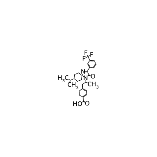 CC(C)C1CCC2(CC1)N=C(c1cccc(C(F)(F)F)c1)C(=O)N2C(C)Cc1ccc(C(=O)O)cc1